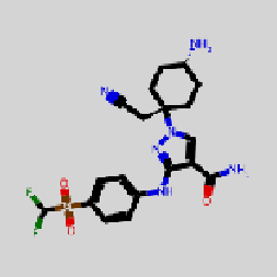 N#CC[C@]1(n2cc(C(N)=O)c(Nc3ccc(S(=O)(=O)C(F)F)cc3)n2)CC[C@@H](N)CC1